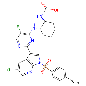 Cc1ccc(S(=O)(=O)n2cc(-c3ncc(F)c(N[C@H]4CCCC[C@@H]4NC(=O)O)n3)c3cc(Cl)cnc32)cc1